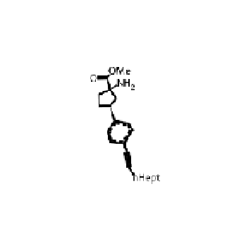 CCCCCCCC#Cc1ccc([C@H]2CC[C@](N)(C(=O)OC)C2)cc1